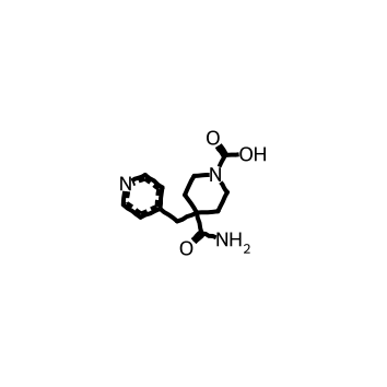 NC(=O)C1(Cc2ccncc2)CCN(C(=O)O)CC1